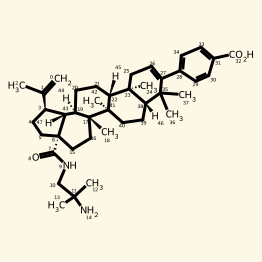 C=C(C)[C@@H]1CC[C@]2(C(=O)NCC(C)(C)N)CC[C@]3(C)[C@H](CC[C@@H]4[C@@]5(C)CC=C(c6ccc(C(=O)O)cc6)C(C)(C)[C@@H]5CC[C@]43C)[C@@H]12